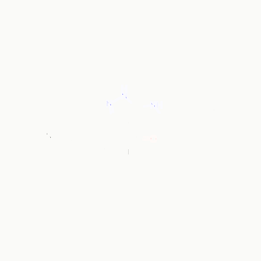 N#Cc1c(C(F)(F)F)cc(Cl)c(-c2n[nH]c(NCc3ccccc3)c2C(=O)C(F)(F)F)c1Cl